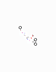 CC(C)(C)OC(=O)[C@H]1C[C@H](OCCNC(=O)OCc2ccccc2)CN1C(=O)OCC1c2ccccc2-c2ccccc21